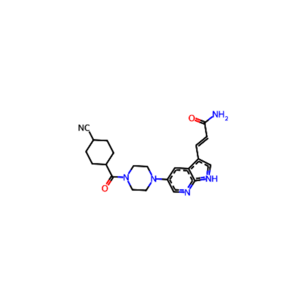 N#CC1CCC(C(=O)N2CCN(c3cnc4[nH]cc(/C=C/C(N)=O)c4c3)CC2)CC1